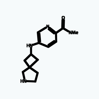 CNC(=O)c1ccc(NC2CC3(CCNC3)C2)cn1